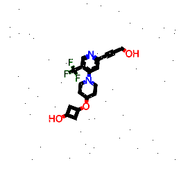 OCC#Cc1cc(N2CCC(OC3CC(O)C3)CC2)c(C(F)(F)F)cn1